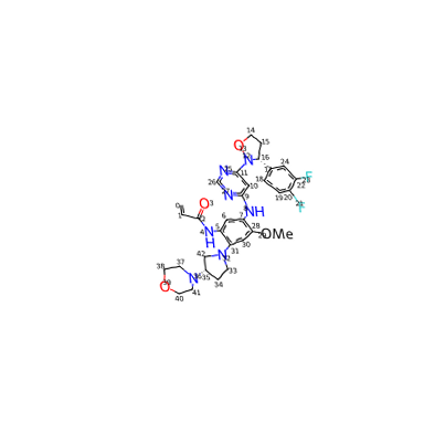 C=CC(=O)Nc1cc(Nc2cc(N3OCC[C@@H]3c3ccc(F)c(F)c3)ncn2)c(OC)cc1N1CC[C@H](N2CCOCC2)C1